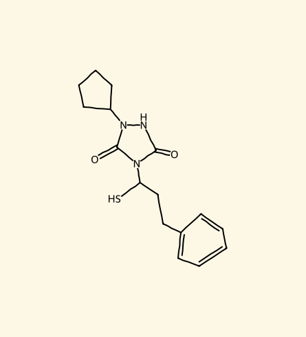 O=c1[nH]n(C2CCCC2)c(=O)n1C(S)CCc1ccccc1